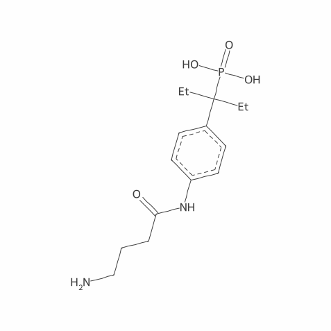 CCC(CC)(c1ccc(NC(=O)CCCN)cc1)P(=O)(O)O